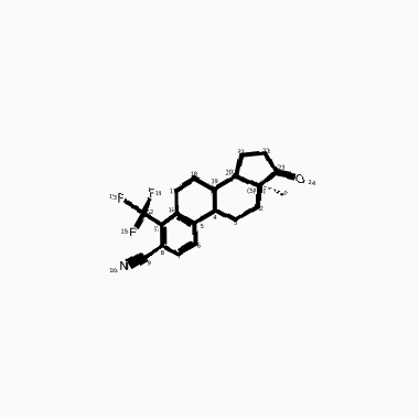 C[C@]12CCC3c4ccc(C#N)c(C(F)(F)F)c4CCC3C1CCC2=O